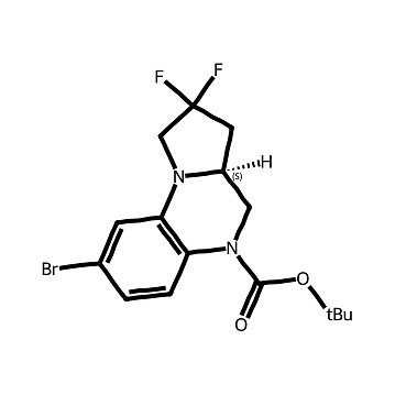 CC(C)(C)OC(=O)N1C[C@@H]2CC(F)(F)CN2c2cc(Br)ccc21